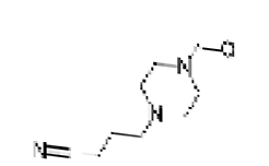 N#CCCCN1CCN(C=O)CC1